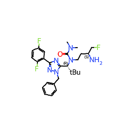 CN(C)C(=O)N(CC[C@H](N)CF)[C@@H](c1nc(-c2cc(F)ccc2F)nn1Cc1ccccc1)C(C)(C)C